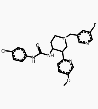 COc1ccc(C2CN(Cc3cncc(F)c3)CCC2NC(=O)Nc2ccc(Cl)cc2)nc1